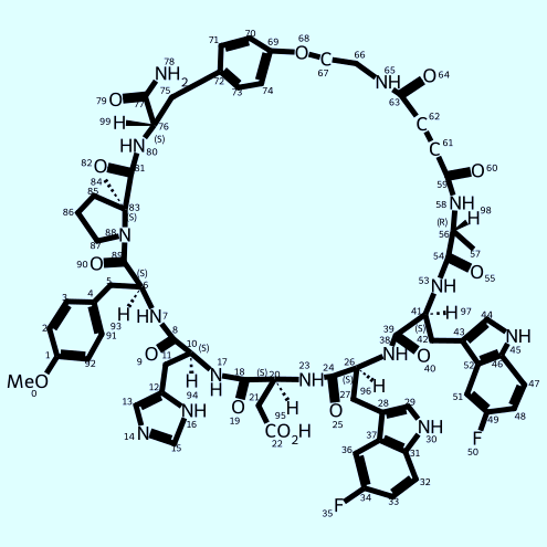 COc1ccc(C[C@@H]2NC(=O)[C@H](Cc3cnc[nH]3)NC(=O)[C@H](CC(=O)O)NC(=O)[C@H](Cc3c[nH]c4ccc(F)cc34)NC(=O)[C@H](Cc3c[nH]c4ccc(F)cc34)NC(=O)[C@@H](C)NC(=O)CCC(=O)NCCOc3ccc(cc3)C[C@@H](C(N)=O)NC(=O)[C@]3(C)CCCN3C2=O)cc1